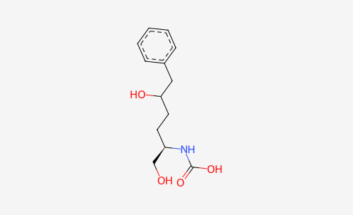 O=C(O)N[C@@H](CO)CCC(O)Cc1ccccc1